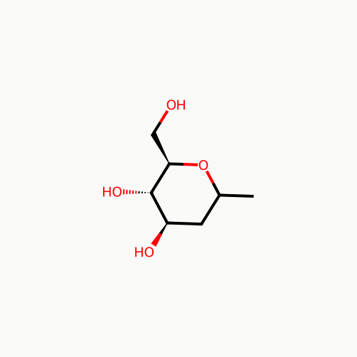 CC1C[C@@H](O)[C@H](O)[C@@H](CO)O1